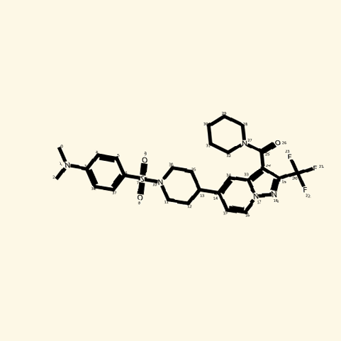 CN(C)c1ccc(S(=O)(=O)N2CCC(c3ccn4nc(C(F)(F)F)c(C(=O)N5CCCCC5)c4c3)CC2)cc1